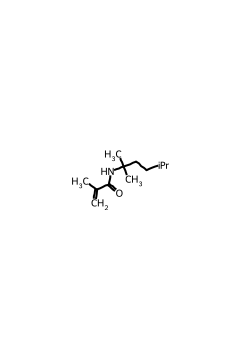 C=C(C)C(=O)NC(C)(C)CCC(C)C